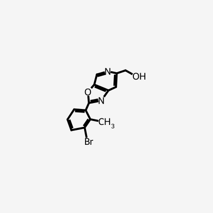 Cc1c(Br)cccc1-c1nc2cc(CO)ncc2o1